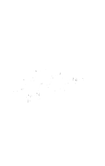 CC(=O)Nc1ccc2c(c1)CCc1cc(=O)[nH]nc1-2